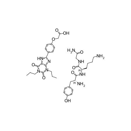 CCCn1c(=O)c2[nH]c(-c3ccc(OCC(=O)O)cc3)nc2n(CCC)c1=O.NCCCC[C@@H](NC(=O)[C@H](N)Cc1ccc(O)cc1)C(=O)NCC(N)=O